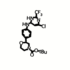 CC(C)(C)OC(=O)N1CCOC(c2ccc(NC3C=C(Cl)N=C(C(F)(F)F)N3)cc2)C1